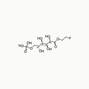 O=C(OCCF)[C@H](O)[C@@H](O)[C@H](O)[C@H](O)COP(=O)(O)O